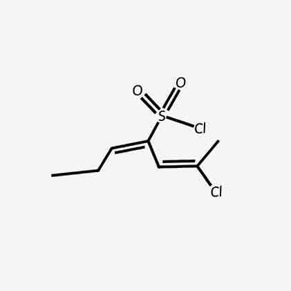 CC/C=C(\C=C(/C)Cl)S(=O)(=O)Cl